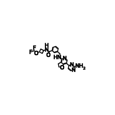 Nc1nccc(-c2cnc(NCc3cccc(C(=O)NC4CC(OC(F)F)C4)c3)c3c2OCC3)n1